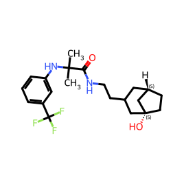 CC(C)(Nc1cccc(C(F)(F)F)c1)C(=O)NCCC1C[C@@H]2CC[C@@](O)(C1)C2